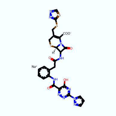 O=C(Cc1ccccc1NC(=O)c1nnc(-n2cccn2)nc1O)NC1C(=O)N2C(C(=O)[O-])=C(CSc3nncs3)CS[C@H]12.[Na+]